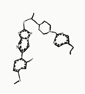 CCc1cnc(N2CCC(C(C)Oc3nn4cc(-c5ccc(SC)cc5F)nc4s3)CC2)nc1